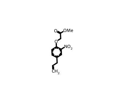 C=CCc1ccc(OCC(=O)OC)c([N+](=O)[O-])c1